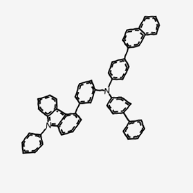 c1ccc(-c2ccc(N(c3ccc(-c4ccc5ccccc5c4)cc3)c3cccc(-c4cccc5c4c4ccccc4n5-c4ccccc4)c3)cc2)cc1